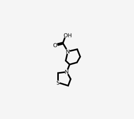 O=C(O)N1CCCC(N2CCSC2)C1